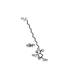 CCCCCCCCCCCCCCOC(=O)C(CC(=O)O)S(=O)(=O)O.[NaH].[NaH]